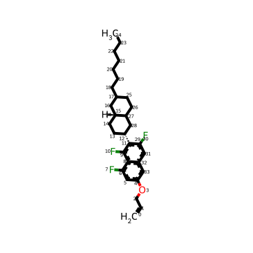 C=CCOc1cc(F)c2c(F)c([C@@H]3CC[C@@H]4CC(CCCCCCC)CCC4C3)c(F)cc2c1